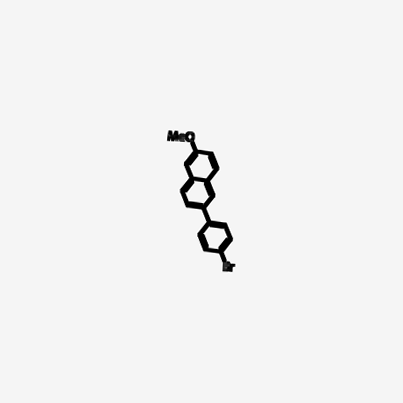 COc1ccc2cc(-c3ccc(Br)cc3)ccc2c1